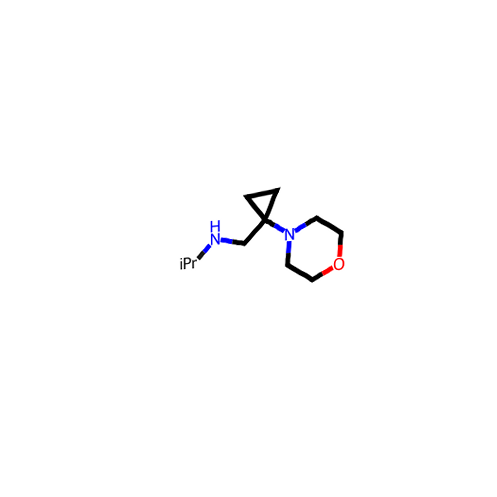 CC(C)NCC1(N2CCOCC2)CC1